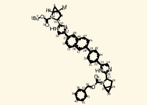 CC(C)(C)OC(=O)N1[C@@H]2C[C@@H]2C[C@H]1c1nc(-c2ccc3cc(-c4ccc(-c5cnc(C6CC7CC7N6C(=O)OCc6ccccc6)[nH]5)cc4)ccc3c2)c[nH]1